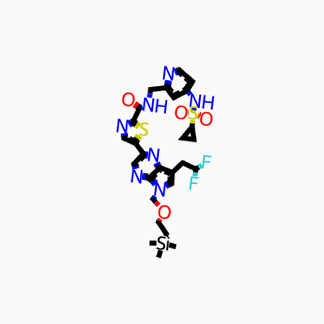 C[Si](C)(C)CCOCn1cc(CC(F)F)c2nc(-c3cnc(C(=O)NCc4cc(NS(=O)(=O)C5CC5)ccn4)s3)cnc21